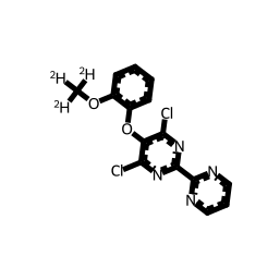 [2H]C([2H])([2H])Oc1ccccc1Oc1c(Cl)nc(-c2ncccn2)nc1Cl